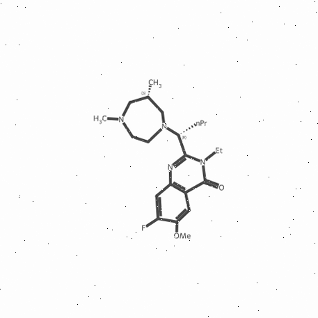 CCC[C@H](c1nc2cc(F)c(OC)cc2c(=O)n1CC)N1CCN(C)C[C@H](C)C1